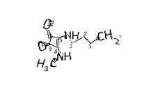 [CH2]CCCNc1c(NC)c(=O)c1=O